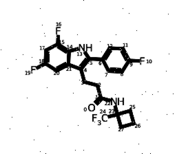 O=C(CCc1c(-c2ccc(F)cc2)[nH]c2c(F)cc(F)cc12)NC1(C(F)(F)F)CCC1